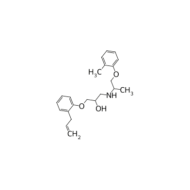 C=CCc1ccccc1OCC(O)CNC(C)COc1ccccc1C